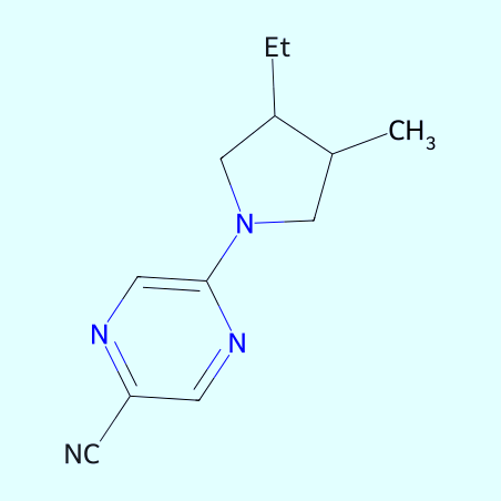 CCC1CN(c2cnc(C#N)cn2)CC1C